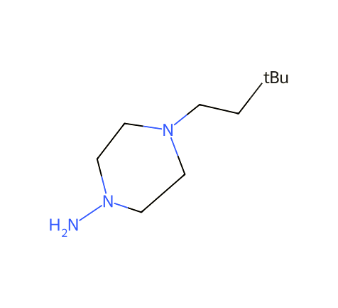 CC(C)(C)CCN1CCN(N)CC1